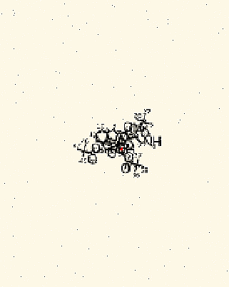 CNCCCC(O)C1=Cc2ccccc2C1(P(=O)(O)OCOC(=O)C(C)(C)C)P(=O)(OCOC(=O)C(C)(C)C)OCOC(=O)C(C)(C)C